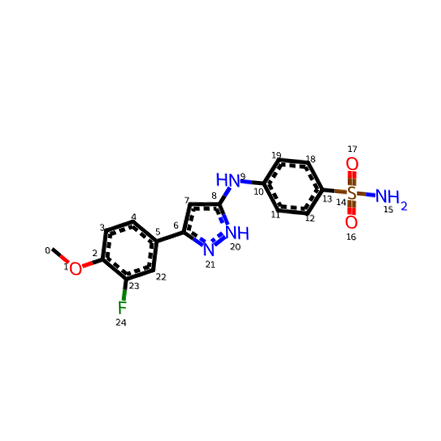 COc1ccc(-c2cc(Nc3ccc(S(N)(=O)=O)cc3)[nH]n2)cc1F